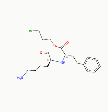 NCCCC[C@@H](C=O)N[C@@H](CCc1ccccc1)C(=O)OCCCBr